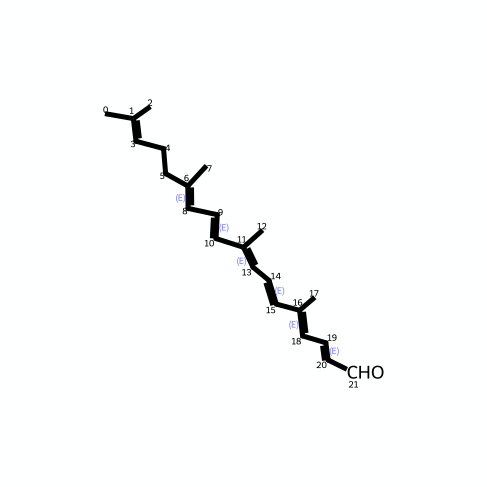 CC(C)=CCC/C(C)=C/C=C/C(C)=C/C=C/C(C)=C/C=C/C=O